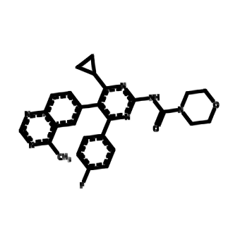 Cc1ncnc2ccc(-c3c(-c4ccc(F)cc4)nc(NC(=O)N4CCOCC4)nc3C3CC3)cc12